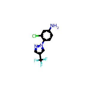 Nc1ccc(-n2cc(C(F)(F)F)cn2)c(Cl)c1